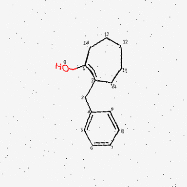 OC1=C(Cc2ccccc2)CCCCC1